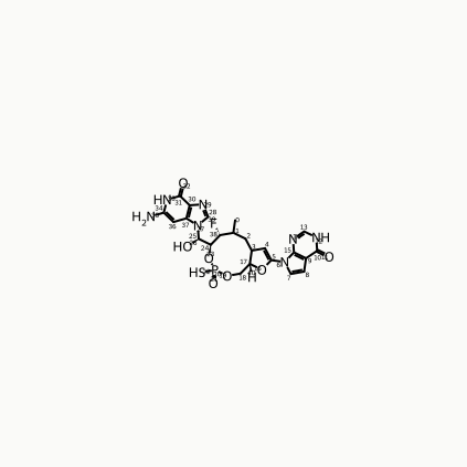 CC1CC2C=C(n3ccc4c(=O)[nH]cnc43)O[C@@H]2COP(=O)(S)O[C@@H]([C@@H](O)n2cnc3c(=O)[nH]c(N)cc32)[C@@H]1F